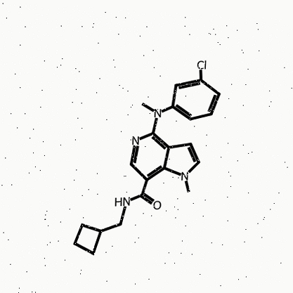 CN(c1cccc(Cl)c1)c1ncc(C(=O)NCC2CCC2)c2c1ccn2C